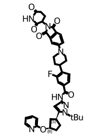 CC(C)(C)n1nc(NC(=O)c2ccc(C3CCN(c4ccc5c(c4)C(=O)N(C4CCC(=O)NC4=O)C5=O)CC3)c(F)c2)cc1[C@H]1CC[C@@H](Oc2ccccn2)C1